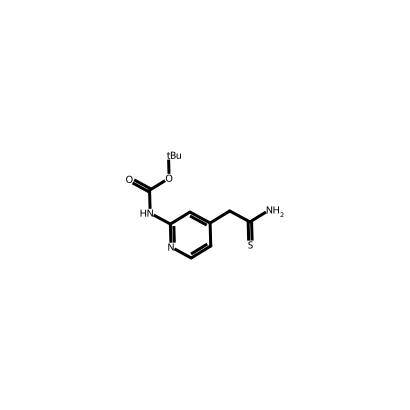 CC(C)(C)OC(=O)Nc1cc(CC(N)=S)ccn1